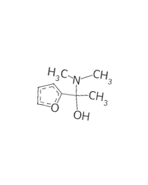 CN(C)C(C)(O)c1ccco1